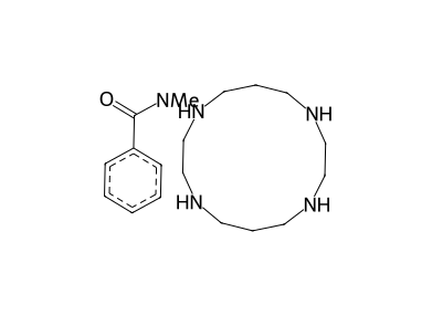 C1CNCCNCCCNCCNC1.CNC(=O)c1ccccc1